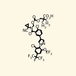 CC(C)(COC(=O)OCN(C(=O)c1cc(-c2cnn(-c3c(Cl)cc(C(F)(C(F)(F)F)C(F)(F)F)cc3OC(F)(F)F)c2)ccc1Cl)C1(C#N)CC1)C(=O)O